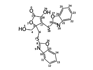 O=C1OC(CO)(CSc2nc3ccccc3o2)C(Sc2nc3ccccc3o2)=C1O